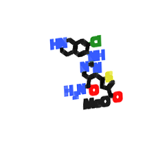 COC(=O)c1csc(-c2nc(Nc3cc4c(cc3Cl)CNCC4)ncc2C(N)=O)c1